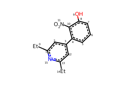 CCc1cc(-c2cccc(O)c2[N+](=O)[O-])cc(CC)n1